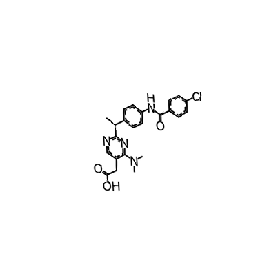 CC(c1ccc(NC(=O)c2ccc(Cl)cc2)cc1)c1ncc(CC(=O)O)c(N(C)C)n1